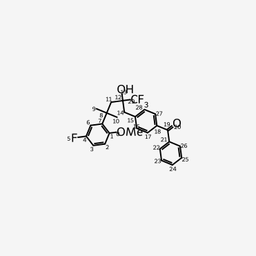 COc1ccc(F)cc1C(C)(C)CC(O)(Cc1ccc(C(=O)c2ccccc2)cc1)C(F)(F)F